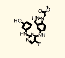 COC(=O)CN1NCc2cc(Nc3nc(Nc4cccc(O)c4)ncc3F)ccc21